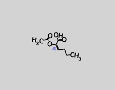 CCC/C=C(/OC(C)=O)C(=O)O